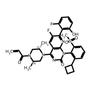 C=CC(=O)N1C[C@H](C)N(c2nc(=O)n(-c3c(C4CCC4)cccc3S(C)(=O)=O)c3nc(-c4c(O)cccc4F)c(F)cc23)C[C@H]1C